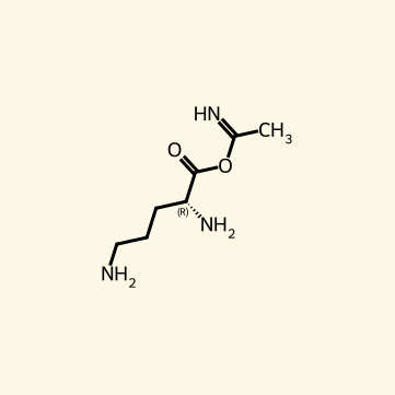 CC(=N)OC(=O)[C@H](N)CCCN